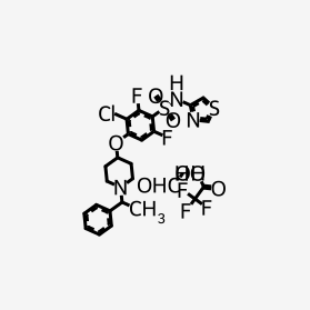 CC(c1ccccc1)N1CCC(Oc2cc(F)c(S(=O)(=O)Nc3cscn3)c(F)c2Cl)CC1.O=C(O)C(F)(F)F.O=CO